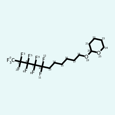 FC(F)(F)C(F)(F)C(F)(F)C(F)(F)C(F)(F)CCCCCCOC1CCCCO1